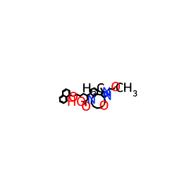 COCCn1nc2c(c1C)-c1cccc3c(CCCOc4cccc5ccccc45)c(C(=O)O)n(c13)CCCCOC2